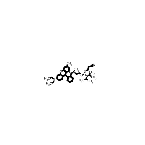 CC[N+](CC)=c1ccc2c(-c3ccccc3C(=O)N(C)CCOP(OCCC#N)N(C(C)C)C(C)C)c3ccc(C)cc3oc-2c1